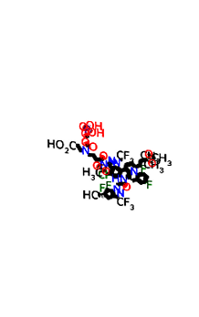 C#C[C@@H]1Cc2c(C(F)(F)F)nn(CC(=O)N[C@@H](Cc3cc(F)cc(F)c3)c3nc(CCC(C)(C)S(C)(=O)=O)ccc3-c3ccc(Cl)c4c(N(C(=O)CCCN(CCC(=O)O)C(=O)OCOP(=O)(O)O)S(C)(=O)=O)nn(CC(F)(F)F)c34)c2C1(F)F